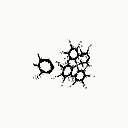 Cc1cccc([NH3+])c1C.FC1=CC(F)=C(F)NC1(F)[B-](c1c(F)c(F)c(F)c(F)c1F)(c1c(F)c(F)c(F)c(F)c1F)c1c(F)c(F)c(F)c(F)c1F